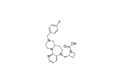 O=C(O)N1CC[C@H]1CN1CCC2CN(Cc3ccc(F)cc3)CCN2c2ncccc21